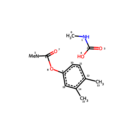 CNC(=O)O.CNC(=O)Oc1ccc(C)c(C)c1